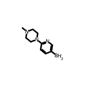 Bc1ccc(N2CCN(C)CC2)nc1